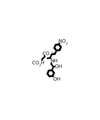 CC(CCc1ccc([N+](=O)[O-])cc1)NCC(O)c1cccc(O)c1.O=C(O)CCC(=O)O